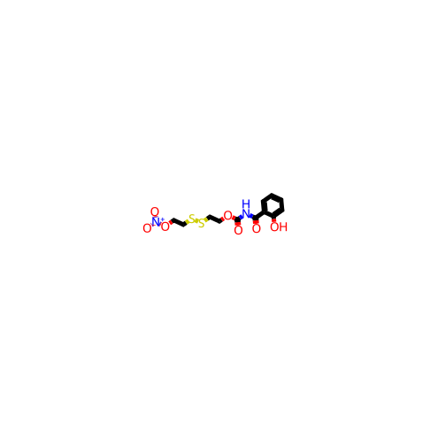 O=C(NC(=O)c1ccccc1O)OCCSSCCO[N+](=O)[O-]